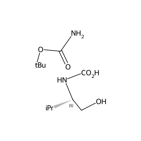 CC(C)(C)OC(N)=O.CC(C)[C@@H](CO)NC(=O)O